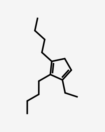 CCCCC1=C(CCCC)C(CC)=CC1